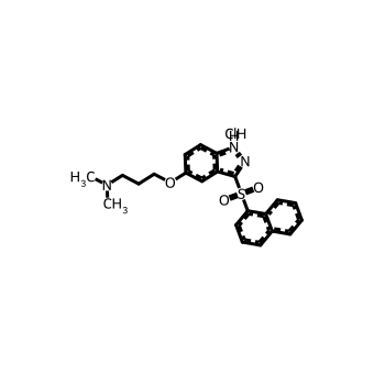 CN(C)CCCOc1ccc2[nH]nc(S(=O)(=O)c3cccc4ccccc34)c2c1.Cl